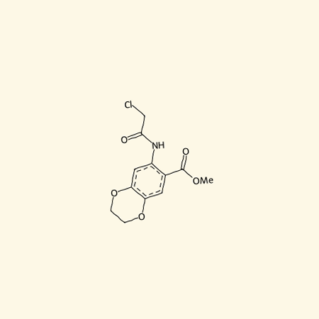 COC(=O)c1cc2c(cc1NC(=O)CCl)OCCO2